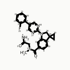 CN(CC(N)=O)C(=O)c1ccc2c(c1)N(c1ncc(-c3ccccc3F)cn1)CC21CC1